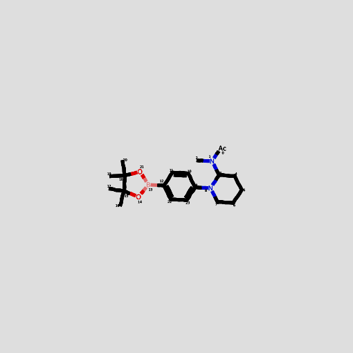 CC(=O)N(C)C1CCCCN1c1ccc(B2OC(C)(C)C(C)(C)O2)cc1